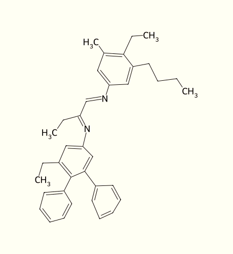 CCCCc1cc(N=CC(CC)=Nc2cc(CC)c(-c3ccccc3)c(-c3ccccc3)c2)cc(C)c1CC